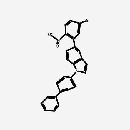 O=[N+]([O-])c1ccc(Br)cc1-c1ccc2c(ccn2-c2ccc(-c3ccccc3)cc2)c1